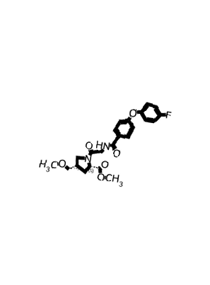 COC[C@H]1C[C@@H](C(=O)OC)N(C(=O)CNC(=O)c2ccc(Oc3ccc(F)cc3)cc2)C1